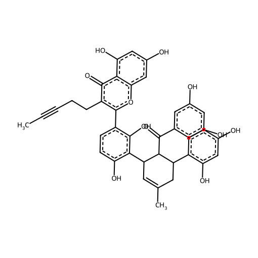 CC#CCCc1c(-c2ccc(O)c(C3C=C(C)CC(c4ccc(O)cc4O)C3C(=O)c3cc(O)cc(O)c3)c2O)oc2cc(O)cc(O)c2c1=O